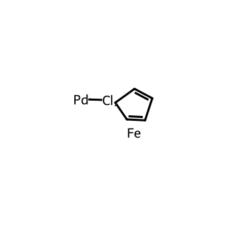 [CH]1C=CC=C1.[Cl][Pd].[Fe]